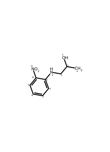 CC(O)CNc1c[c]ccc1[N+](=O)[O-]